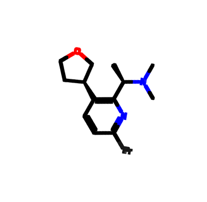 CC(C)c1ccc([C@H]2CCOC2)c([C@@H](C)N(C)C)n1